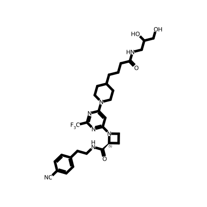 N#Cc1ccc(CCNC(=O)[C@@H]2CCN2c2cc(N3CCC(CCCC(=O)NCC(O)CO)CC3)nc(C(F)(F)F)n2)cc1